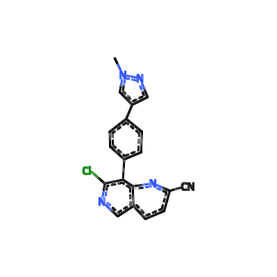 Cn1cc(-c2ccc(-c3c(Cl)ncc4ccc(C#N)nc34)cc2)cn1